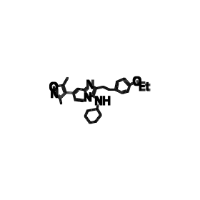 CCOc1ccc(CCc2nc3cc(-c4c(C)noc4C)ccn3c2NC2CCCCC2)cc1